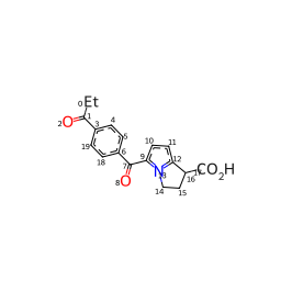 CCC(=O)c1ccc(C(=O)c2ccc3n2CCC3C(=O)O)cc1